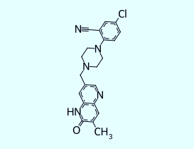 Cc1cc2ncc(CN3CCN(c4ccc(Cl)cc4C#N)CC3)cc2[nH]c1=O